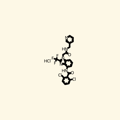 Cl.O=C(Cn1c(C(F)(F)F)nc2c(NC(=O)c3c(Cl)cccc3Cl)cccc21)NCc1cccnc1